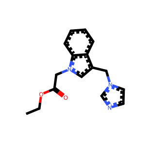 CCOC(=O)Cn1cc(Cn2ccnc2)c2ccccc21